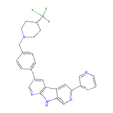 FC(F)(F)C1CCN(Cc2ccc(-c3cnc4[nH]c5cnc(-c6cccnc6)cc5c4c3)cc2)CC1